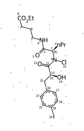 CCC[C@H](C(=O)NCCCC(=O)OCC)N(Cl)C(=O)[C@@H](O)Cc1ccc(I)cc1